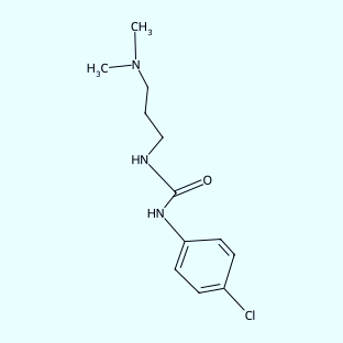 CN(C)CCCNC(=O)Nc1ccc(Cl)cc1